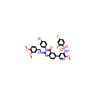 COc1ccc(CNc2nc3ccc(-c4cnc(OC)c(NS(=O)(=O)c5ccc(F)cc5F)c4)cc3c(=O)n2-c2ccc(Br)cc2)cc1OC